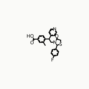 Cc1cc(C(=O)O)ccc1C(CN1C(=O)CSC1c1ccc(F)cc1)c1ccncc1